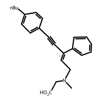 CCCCc1ccc(C#C/C(=C/CN(C)CC(=O)O)c2ccccc2)cc1